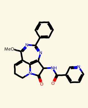 COC1=NC(c2ccccc2)=NC2=C3C1=CCCN3C(=O)C2NC(=O)c1cccnc1